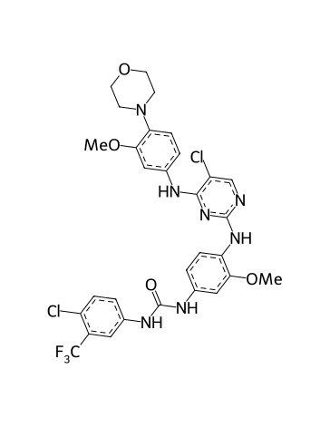 COc1cc(NC(=O)Nc2ccc(Cl)c(C(F)(F)F)c2)ccc1Nc1ncc(Cl)c(Nc2ccc(N3CCOCC3)c(OC)c2)n1